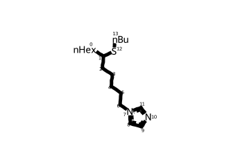 CCCCCCC(CCCCCn1ccnc1)SCCCC